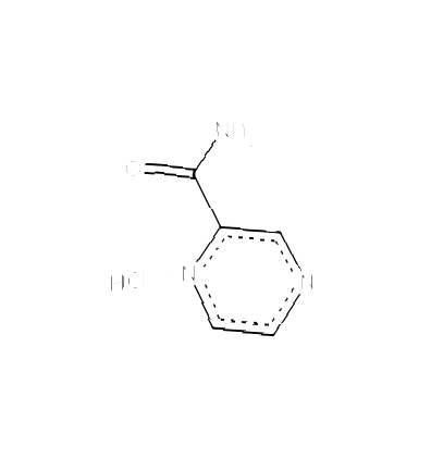 Cl.NC(=O)c1cnccn1